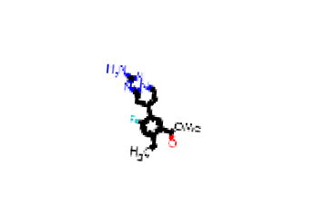 C=Cc1cc(F)c(-c2ccn3nc(N)nc3c2)cc1C(=O)OC